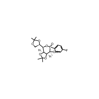 CC1(C)OC[C@H]([C@H]2OP(=O)(c3ccc(F)cc3)[C@@](C)(O)[C@H]3OC(C)(C)O[C@@H]23)O1